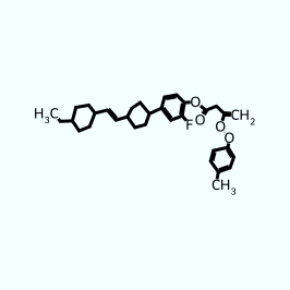 C=C(CC(=O)Oc1ccc(C2CCC(C=CC3CCC(CC)CC3)CC2)cc1F)OOc1ccc(C)cc1